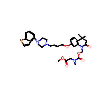 COC(=O)CN(C)C(=O)OCN1C(=O)CC(C)(C)c2ccc(OCCCCN3CCN(c4cccc5sccc45)CC3)cc21